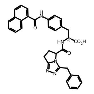 O=C(Nc1ccc(C[C@H](NC(=O)C2CCc3nnc(Cc4ccccc4)n32)C(=O)O)cc1)c1cccc2ccccc12